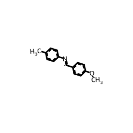 COc1ccc([C]=Nc2ccc(C)cc2)cc1